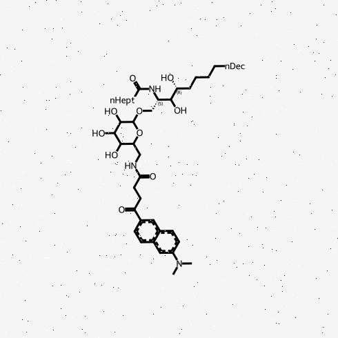 CCCCCCCCCCCCCC[C@@H](O)C(O)[C@H](COC1OC(CNC(=O)CCC(=O)c2ccc3cc(N(C)C)ccc3c2)C(O)C(O)C1O)NC(=O)CCCCCCC